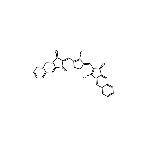 C=C1/C(=C\C2=C(Cl)C(=C/C3=C(CC)c4cc5ccccc5cc4C3=O)/CC2)C(=O)c2cc3ccccc3cc21